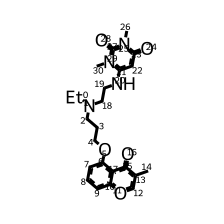 CCN(CCCOc1cccc2occ(C)c(=O)c12)CCNc1cc(=O)n(C)c(=O)n1C